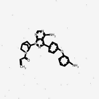 C=CC(=O)N1CC2CC1C(n1nc(-c3ccc(Oc4cccc(N)c4)cc3)c3c(N)ncnc31)C2